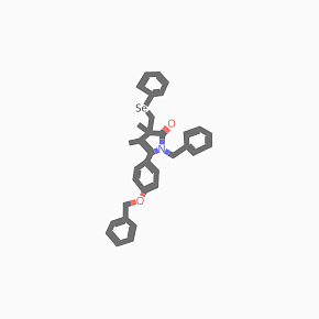 CC1=C(c2ccc(OCc3ccccc3)cc2)N(Cc2ccccc2)C(=O)C1(C)C[Se]c1ccccc1